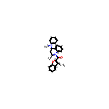 CC(=O)N(c1ccccc1)[C@@H]1C[C@H](C)N(C(=O)c2oc3ccccc3c2C)c2ccccc21